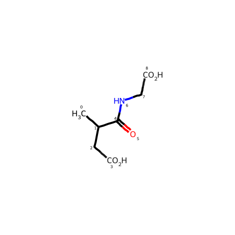 CC(CC(=O)O)C(=O)NCC(=O)O